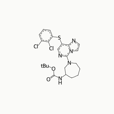 CC(C)(C)OC(=O)NC1CCCCN(c2ncc(Sc3cccc(Cl)c3Cl)c3nccn23)C1